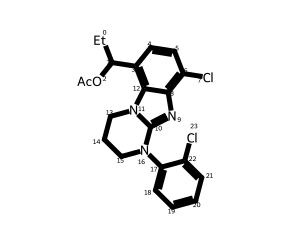 CCC(OC(C)=O)c1ccc(Cl)c2nc3n(c12)CCCN3c1ccccc1Cl